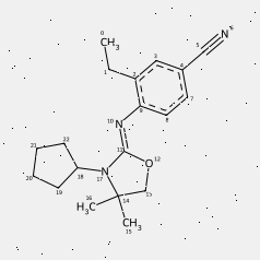 CCc1cc(C#N)ccc1N=C1OCC(C)(C)N1C1CCCC1